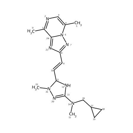 Cc1ncc(C)n2nc(/C=C/C3NC(N(C)CC4CC4)=NN3C)nc12